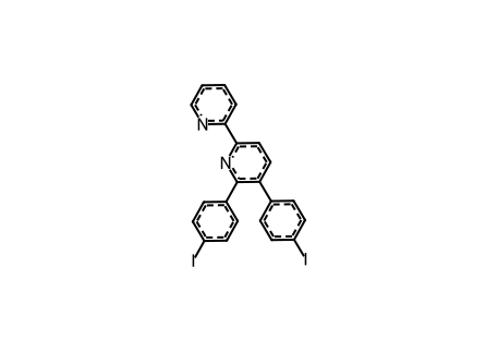 Ic1ccc(-c2ccc(-c3ccccn3)nc2-c2ccc(I)cc2)cc1